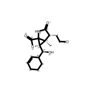 C[C@@]12[C@@H](CCCl)C(=O)NC13C(=O)O[C@]32[C@@H](O)C1C=CCCC1